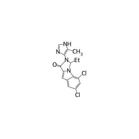 CCC1N(c2nc[nH]c2C)C(=O)c2cc3cc(Cl)cc(Cl)c3n21